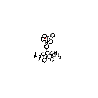 CC1(C)c2ccccc2N2c3ccccc3C(C)(C)c3cc(-c4ccc5c(c4)c4ccc6c7ccccc7n(-c7ccccc7)c6c4n5-c4ccccc4)cc1c32